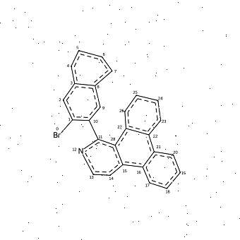 Brc1cc2ccccc2cc1-c1nccc2c3ccccc3c3ccccc3c12